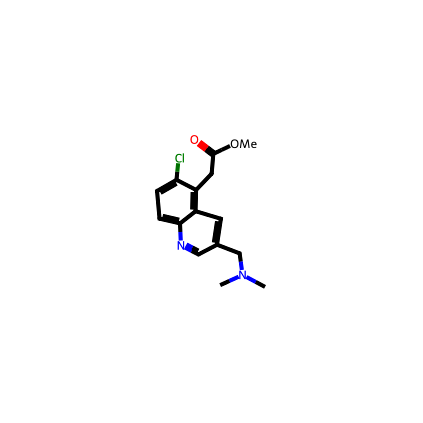 COC(=O)Cc1c(Cl)ccc2ncc(CN(C)C)cc12